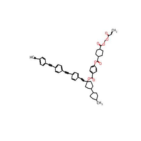 C#Cc1ccc(C#Cc2ccc(C#Cc3ccc(C#CC4(OC(=O)c5ccc(OC(=O)C6CCC(C(=O)OCOC(=O)C=C)CC6)cc5)CCC(C5CCC(C)CC5)CC4)cc3)cc2)cc1